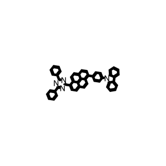 c1ccc(-c2nc(-c3ccccc3)nc(-c3ccc4ccc5c(-c6ccc(-n7c8ccccc8c8ccccc87)cc6)ccc6ccc3c4c65)n2)cc1